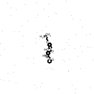 CN(C)CCCOc1ccc2c(c1)CN(C(=O)c1cc3c(CN4CCCCC4=O)n[nH]c3cc1O)C2